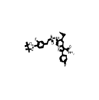 CC1(C)OB(c2ccc(CCS(=O)(=O)Nc3cn4nc(-c5ccc(F)cc5)c(C(N)=O)c4cc3C3CC3)cc2F)OC1(C)C